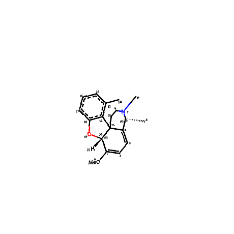 COC1=CC=C2[C@@H](C)N(C)CCC23c2c(C)cccc2O[C@@H]13